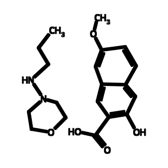 CCCNN1CCOCC1.COc1ccc2cc(O)c(C(=O)O)cc2c1